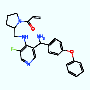 C=CC(=O)N1CCCC1CNc1c(F)cncc1C(N)c1ccc(Oc2ccccc2)cc1